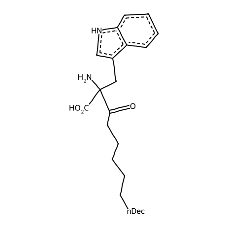 CCCCCCCCCCCCCCCC(=O)C(N)(Cc1c[nH]c2ccccc12)C(=O)O